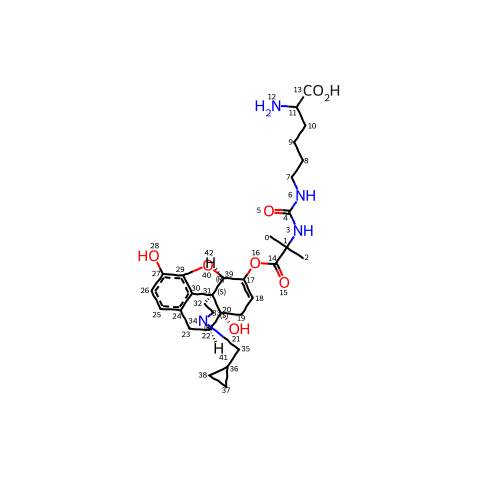 CC(C)(NC(=O)NCCCCC(N)C(=O)O)C(=O)OC1=CC[C@@]2(O)[C@H]3Cc4ccc(O)c5c4[C@@]2(CCN3CC2CC2)[C@H]1O5